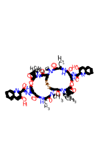 CC1NC(=O)C(NC(=O)c2nc3ccccc3cc2O)COC(=O)C2(CC2C)N(C)C(=O)C2CSSCC(C(=O)N(C)C3(CC3C)C(=O)OCC(NC(=O)c3nc4ccccc4cc3O)C(=O)NC(C)C(=O)N2C)N(C)C1=O